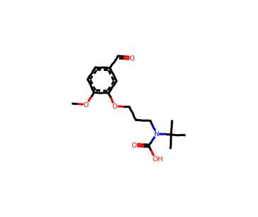 COc1ccc(C=O)cc1OCCCN(C(=O)O)C(C)(C)C